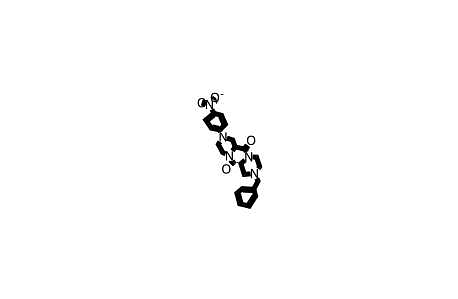 O=[C]N1CCN(c2ccc([N+](=O)[O-])cc2)CC1C(=O)N1CCN(Cc2ccccc2)CC1